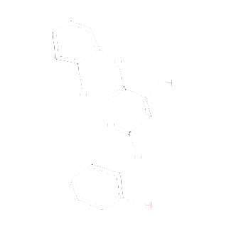 CC(=CC(=O)Oc1ccccc1O)C(=O)Oc1ccccc1O